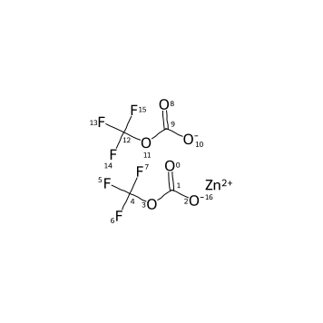 O=C([O-])OC(F)(F)F.O=C([O-])OC(F)(F)F.[Zn+2]